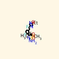 CCOc1cnc(/C(F)=C/c2ccc(F)c([C@@]3(C)N=C(N)S[C@@]4(S(C)(=O)=O)C[C@H]43)c2)cn1